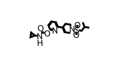 CC(C)CS(=O)(=O)N1CC=C(c2cccc(OC(=O)NC3CC3)n2)CC1